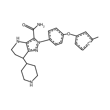 Cc1cccc(Oc2ccc(-n3nc4c(c3C(N)=O)NCCC4C3CCNCC3)cc2)c1